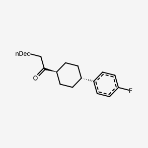 CCCCCCCCCCCC(=O)[C@H]1CC[C@H](c2ccc(F)cc2)CC1